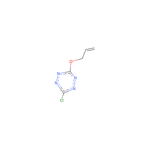 C=CCOc1nnc(Cl)nn1